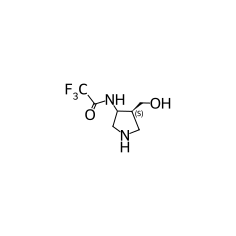 O=C(NC1CNC[C@@H]1CO)C(F)(F)F